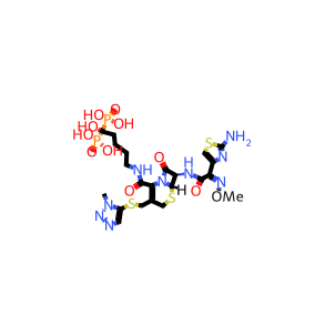 CO/N=C(\C(=O)N[C@@H]1C(=O)N2C(C(=O)NCCCCC(O)(P(=O)(O)O)P(=O)(O)O)=C(CSc3cnnn3C)CS[C@@H]12)c1csc(N)n1